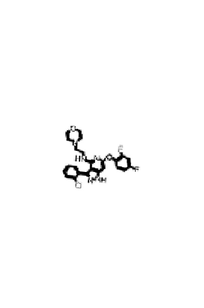 Fc1ccc(Oc2cc3[nH]nc(-c4ccccc4Cl)c3c(NCCN3CCOCC3)n2)c(F)c1